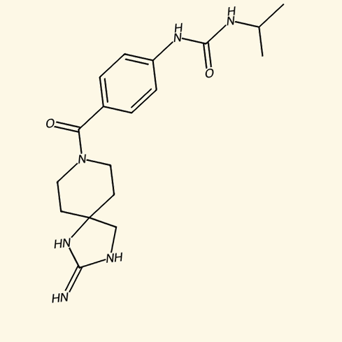 CC(C)NC(=O)Nc1ccc(C(=O)N2CCC3(CC2)CNC(=N)N3)cc1